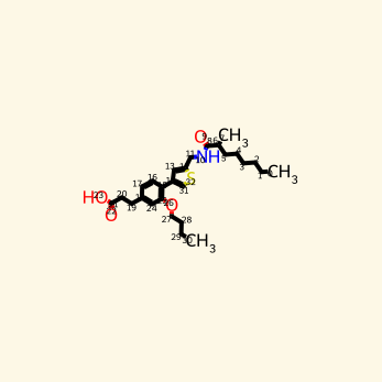 CCCCCCC(C)C(=O)NCc1cc(-c2ccc(CCC(=O)O)cc2OCCCC)cs1